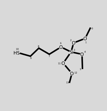 COO[Si](OC)(OCCCS)OOC